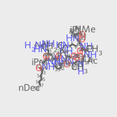 C=C(N)NCCC[C@H](NC(=O)[C@H](C)NC(=O)[C@H](CC(C)=O)NC(=O)[C@H](C)NC(=O)[C@@H](NC(=O)[C@@H]1CCCN1C(=O)[C@H](CCCNC(=N)N)NC(=O)[C@@H](NC(=O)CCCCCCCCCCCCCCC)C(C)C)C(C)C)C(=O)N[C@@H](CC(C)C)C(=O)NC